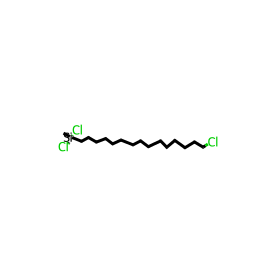 C[Si](Cl)(Cl)CCCCCCCCCCCCCCCCl